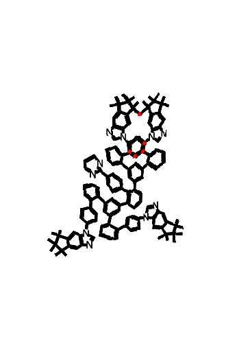 CC1(C)c2cc3ncn(-c4ccc(-c5ccccc5-c5cc(-c6ccccc6-c6ccc(-n7cnc8cc9c(cc87)C(C)(C)C(C)(C)C9(C)C)cc6)cc(-c6cccc(-c7cc(-c8ccccc8-c8ccc(-n9cnc%10cc%11c(cc%109)C(C)(C)C(C)(C)C%11(C)C)cc8)cc(-c8ccccc8-c8ccc(-n9cnc%10cc%11c(cc%109)C(C)(C)C(C)(C)C%11(C)C)cc8)c7)c6-c6ccc(-c7ncccn7)cc6)c5)cc4)c3cc2C(C)(C)C1(C)C